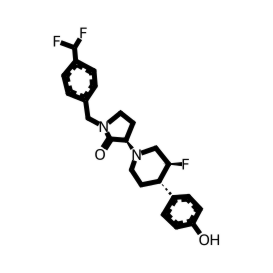 O=C1[C@H](N2CC[C@@H](c3ccc(O)cc3)[C@H](F)C2)CCN1Cc1ccc(C(F)F)cc1